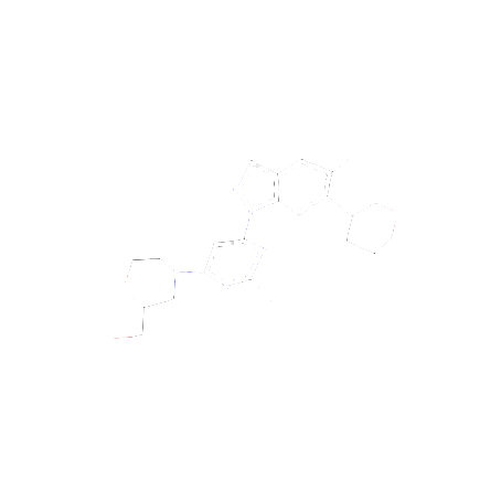 Cc1nc(N2CCOC(CO)C2)cc(-n2ncc3cc(C)c(C4CCCOC4)cc32)n1